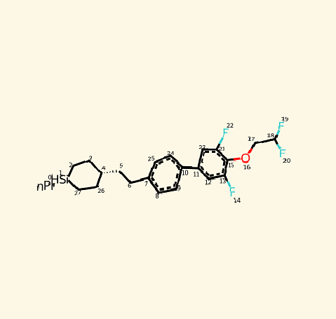 CCC[Si@H]1CC[C@H](CCc2ccc(-c3cc(F)c(OCC(F)F)c(F)c3)cc2)CC1